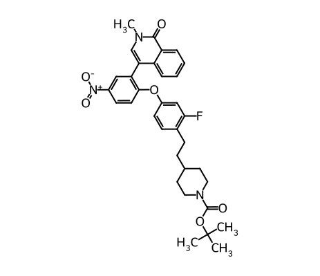 Cn1cc(-c2cc([N+](=O)[O-])ccc2Oc2ccc(CCC3CCN(C(=O)OC(C)(C)C)CC3)c(F)c2)c2ccccc2c1=O